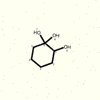 O[C]1CCCCC1(O)O